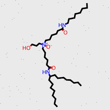 CCCCCCCCNC(=O)CCCCC[N+]([O-])(CCCO)CCCCCC(=O)NC(CCCCCCCC)CCCCCCCC